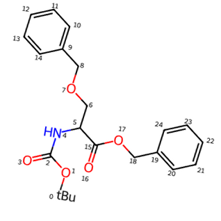 CC(C)(C)OC(=O)NC(COCc1ccccc1)C(=O)OCc1ccccc1